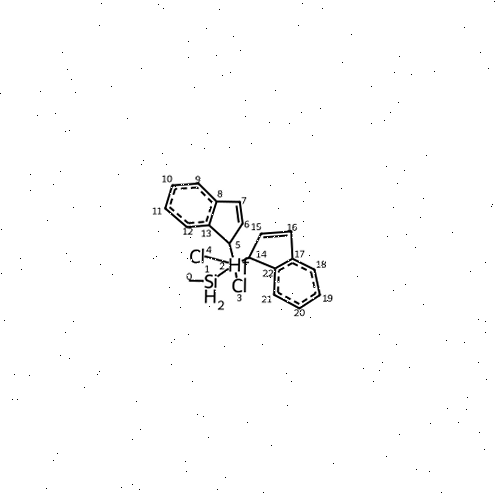 C[SiH2][Hf]([Cl])([Cl])([CH]1C=Cc2ccccc21)[CH]1C=Cc2ccccc21